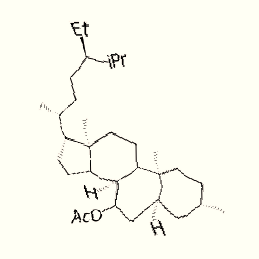 CC[C@H](CC[C@@H](C)[C@H]1CCC2[C@@H]3C(OC(C)=O)C[C@@H]4C[C@@H](C)CC[C@]4(C)C3CC[C@@]21C)C(C)C